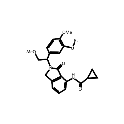 CCOc1cc(C(COC)N2Cc3cccc(NC(=O)C4CC4)c3C2=O)ccc1OC